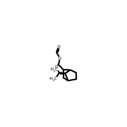 CC(C)=C1C2CCC1C(C(=O)OC=O)C2